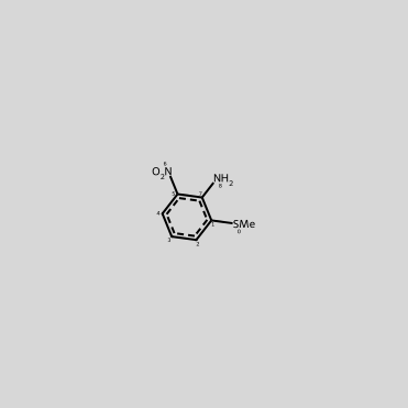 CSc1cccc([N+](=O)[O-])c1N